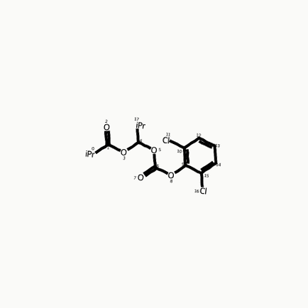 CC(C)C(=O)OC(OC(=O)Oc1c(Cl)cccc1Cl)C(C)C